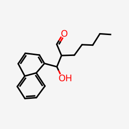 CCCCCC(C=O)C(O)c1cccc2ccccc12